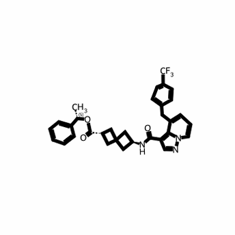 C[C@H](OC(=O)[C@H]1CC2(C[C@H](NC(=O)c3cnn4cccc(Cc5ccc(C(F)(F)F)cc5)c34)C2)C1)c1ccccc1